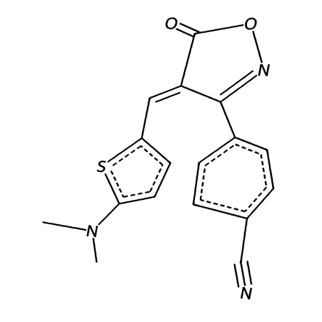 CN(C)c1ccc(/C=C2/C(=O)ON=C2c2ccc(C#N)cc2)s1